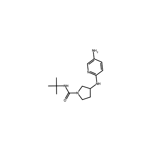 CC(C)(C)NC(=O)N1CCC(Nc2ccc(N)cn2)C1